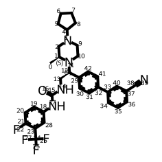 C[C@H]1CN(C2CCCC2)CCN1[C@H](CNC(=O)Nc1ccc(F)c(C(F)(F)F)c1)c1ccc(-c2cccc(C#N)c2)cc1